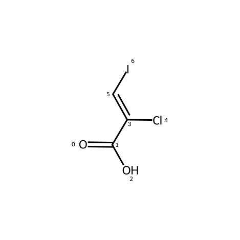 O=C(O)C(Cl)=CI